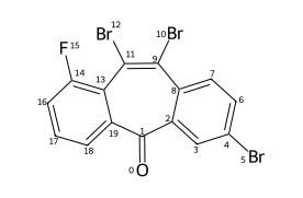 O=c1c2cc(Br)ccc2c(Br)c(Br)c2c(F)cccc12